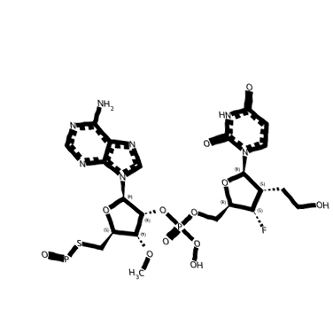 CO[C@H]1[C@@H](OP(=O)(OO)OC[C@H]2O[C@@H](n3ccc(=O)[nH]c3=O)[C@H](CCO)[C@@H]2F)[C@H](n2cnc3c(N)ncnc32)O[C@@H]1CSP=O